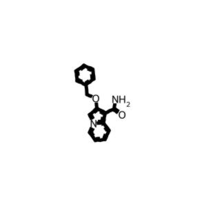 NC(=O)c1c(OCc2ccccc2)cn2ccccc12